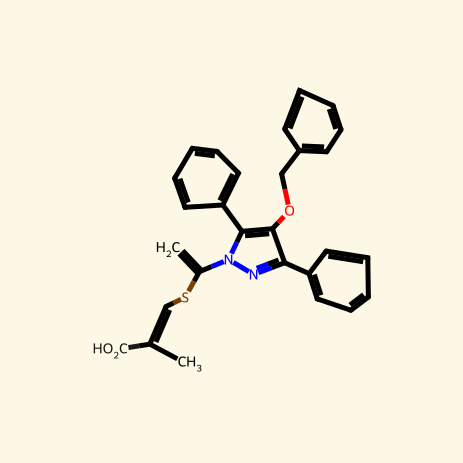 C=C(S/C=C(\C)C(=O)O)n1nc(-c2ccccc2)c(OCc2ccccc2)c1-c1ccccc1